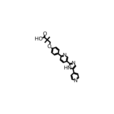 CC(C)(COc1ccc(-c2ccc(-c3ncc(-c4ccncc4)[nH]3)cn2)cc1)C(=O)O